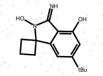 CC(C)(C)c1cc(O)c2c(c1)C1(CCC1)N(O)C2=N